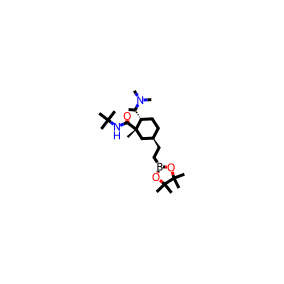 CC([C@@H]1CC[C@@H](CCB2OC(C)(C)C(C)(C)O2)C[C@]1(C)C(=O)NC(C)(C)C)N(C)C